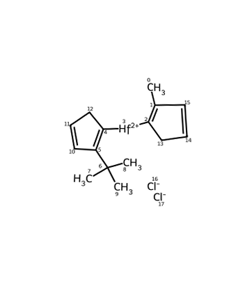 CC1=[C]([Hf+2][C]2=C(C(C)(C)C)C=CC2)CC=C1.[Cl-].[Cl-]